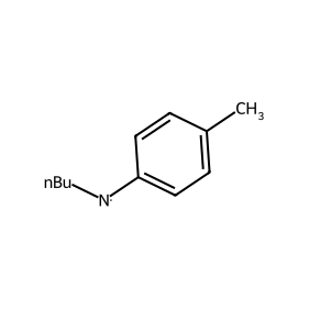 CCCC[N]c1ccc(C)cc1